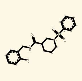 O=C(NCc1ccccc1Cl)C1CCCN(S(=O)(=O)c2ccccc2)C1